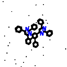 c1ccc(-c2cc(-c3ccc(-c4ccccc4-c4cc(-c5ccccc5)nc(-c5ccccc5)n4)c(-c4ccccc4)c3)nc(-c3ccccc3)n2)cc1